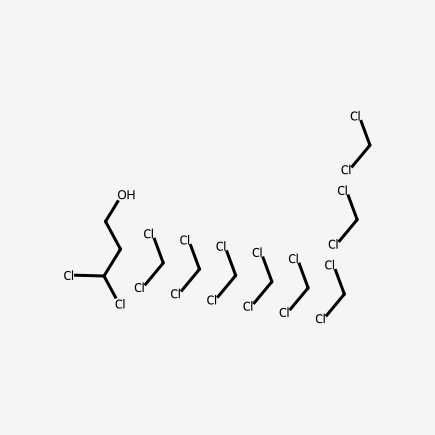 ClCCl.ClCCl.ClCCl.ClCCl.ClCCl.ClCCl.ClCCl.ClCCl.OCCC(Cl)Cl